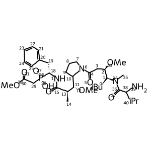 CC[C@H](C)[C@@H]([C@@H](CC(=O)N1CCCC1[C@H](OC)[C@@H](C)C(=O)N[C@@H](Cc1ccccc1)P(=O)(O)CC(=O)OC)OC)N(C)C(=O)C(N)C(C)C